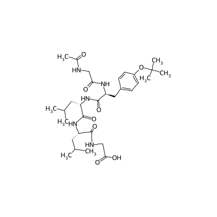 CC(=O)NCC(=O)N[C@@H](Cc1ccc(OC(C)(C)C)cc1)C(=O)N[C@@H](CC(C)C)C(=O)N[C@@H](CC(C)C)C(=O)NCC(=O)O